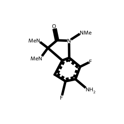 CNN1C(=O)C(NC)(NC)c2cc(F)c(N)c(F)c21